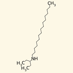 CCCCCCCCCCCCCCCCCNC(CC)CC